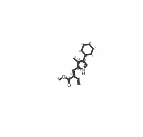 C=C/C(=C\c1[nH]cc(C2CCCCC2)c1C)C(=O)OC